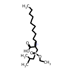 CCCCCCCCC/C=C(/CP(=O)(CC(C)C)OCC)C(=O)O